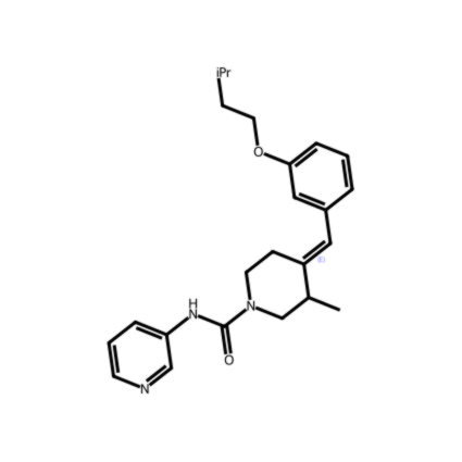 CC(C)CCOc1cccc(/C=C2\CCN(C(=O)Nc3cccnc3)CC2C)c1